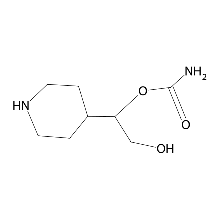 NC(=O)OC(CO)C1CCNCC1